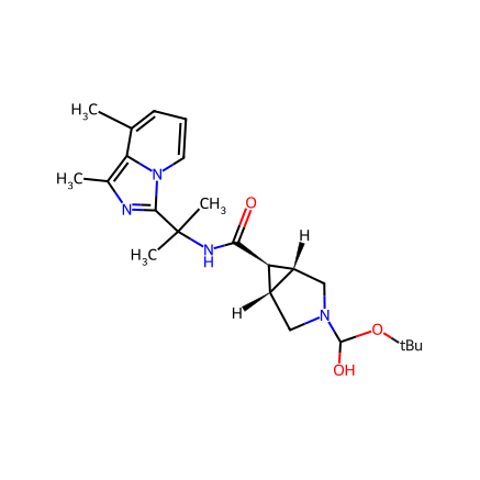 Cc1cccn2c(C(C)(C)NC(=O)[C@H]3[C@@H]4CN(C(O)OC(C)(C)C)C[C@@H]43)nc(C)c12